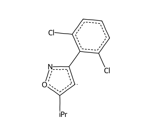 CC(C)c1[c]c(-c2c(Cl)cccc2Cl)no1